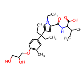 CCn1cc(C(CC)(CC)c2ccc(OCC(O)CO)c(C)c2)cc1C(=O)NC(C(=O)O)C(C)C